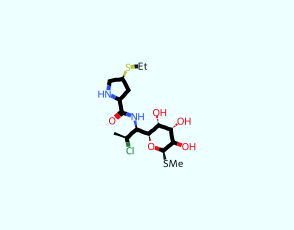 CCS[C@@H]1CNC(C(=O)N[C@@H]([C@H]2O[C@H](SC)C(O)[C@@H](O)[C@H]2O)[C@H](C)Cl)C1